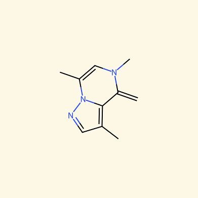 C=C1c2c(C)cnn2C(C)=CN1C